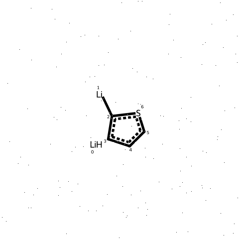 [LiH].[Li][c]1cccs1